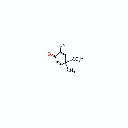 CC1(C(=O)O)C=CC(=O)C(C#N)=C1